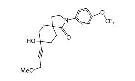 COCC#CC1(O)CCC2(CCN(c3ccc(OC(F)(F)F)cc3)C2=O)CC1